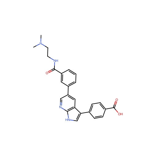 CN(C)CCNC(=O)c1cccc(-c2cnc3[nH]cc(-c4ccc(C(=O)O)cc4)c3c2)c1